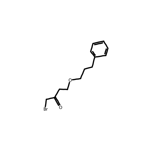 O=C(CBr)CCOCCCc1ccccc1